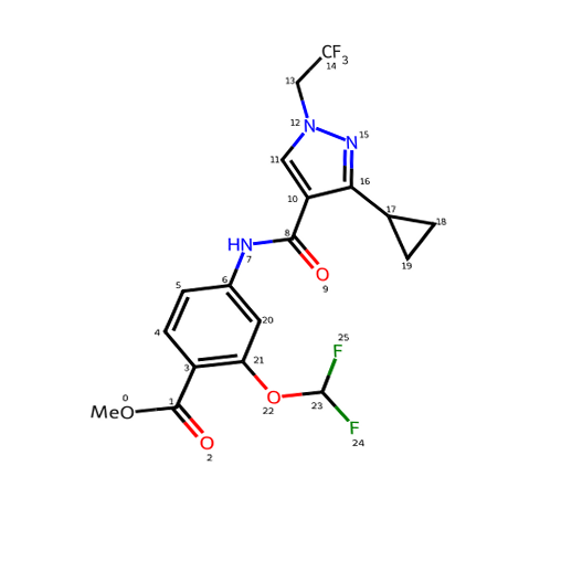 COC(=O)c1ccc(NC(=O)c2cn(CC(F)(F)F)nc2C2CC2)cc1OC(F)F